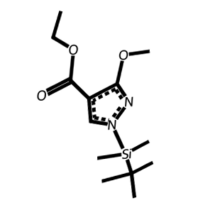 CCOC(=O)c1cn([Si](C)(C)C(C)(C)C)nc1OC